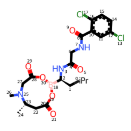 CC(C)C[C@H](NC(=O)CNC(=O)c1cc(Cl)ccc1Cl)B1OC(=O)C[C@H](C)N(C)CC(=O)O1